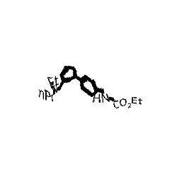 CCCN(CC)Cc1cccc(-c2ccc(CNCC(=O)OCC)cc2)c1